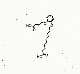 O=C(O)C=CCOc1ccccc1OCCCCCCCCCC(=O)O